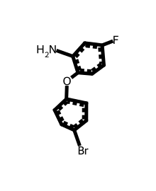 Nc1cc(F)ccc1Oc1ccc(Br)cc1